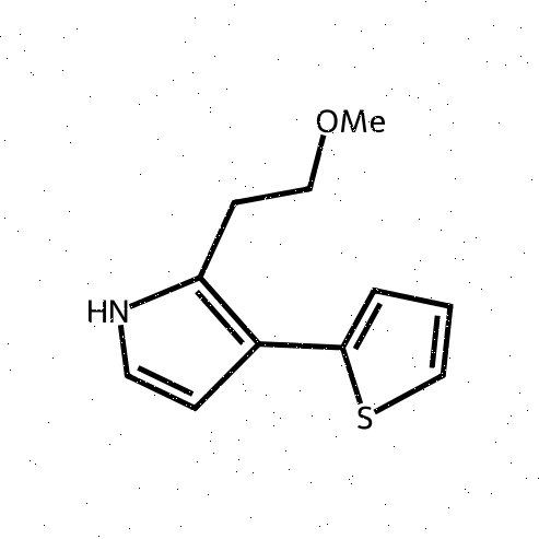 COCCc1[nH]ccc1-c1cccs1